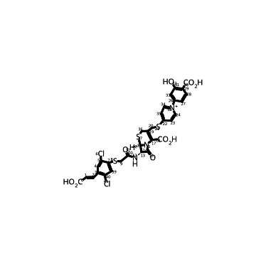 O=C(O)C=Cc1cc(Cl)c(SCC(=O)N[C@H]2C(=O)N3C(C(=O)O)=C(CSc4cc[n+](-c5ccc(C(=O)O)c(O)c5)cc4)CS[C@H]23)cc1Cl